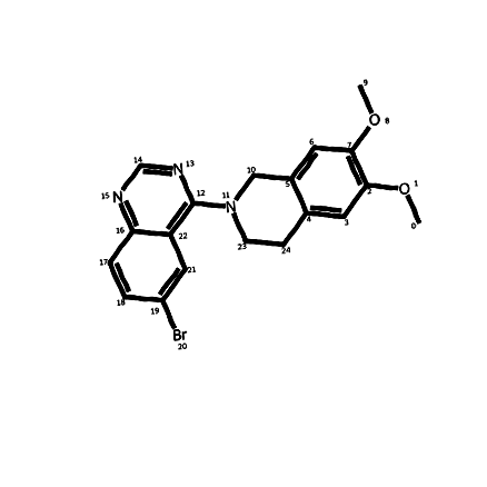 COc1cc2c(cc1OC)CN(c1ncnc3ccc(Br)cc13)CC2